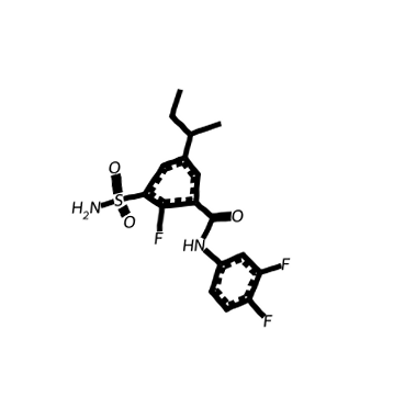 CCC(C)c1cc(C(=O)Nc2ccc(F)c(F)c2)c(F)c(S(N)(=O)=O)c1